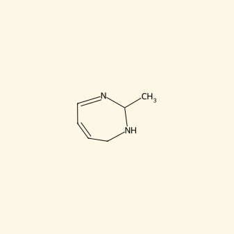 CC1N=CC=CCN1